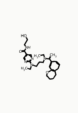 CCN(CCCN(CC)C(C)C1=CC2=C(CC=C1)CCCCO2)c1ncc(C(=O)NCCO)cn1